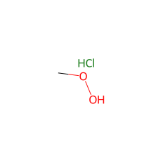 COO.Cl